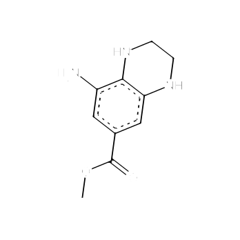 COC(=O)c1cc(N)c2c(c1)NCCN2